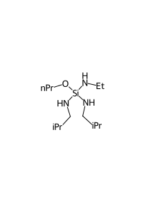 CCCO[Si](NCC)(NCC(C)C)NCC(C)C